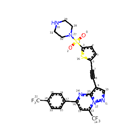 O=S(=O)(c1ccc(C#Cc2cnn3c(C(F)(F)F)cc(-c4ccc(C(F)(F)F)cc4)nc23)s1)N1CCNCC1